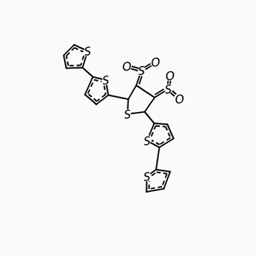 O=S(=O)=C1C(=S(=O)=O)C(c2ccc(-c3cccs3)s2)SC1c1ccc(-c2cccs2)s1